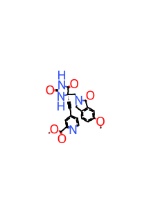 COC(=O)c1cc(C#C[C@]2(CN3Cc4ccc(OC)cc4C3=O)NC(=O)NC2=O)ccn1